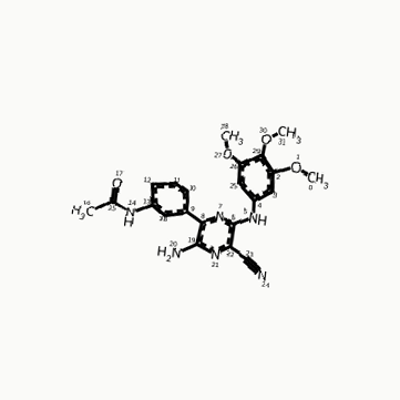 COc1cc(Nc2nc(-c3cccc(NC(C)=O)c3)c(N)nc2C#N)cc(OC)c1OC